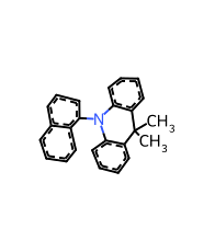 CC1(C)c2ccccc2N(c2cccc3ccccc23)c2ccccc21